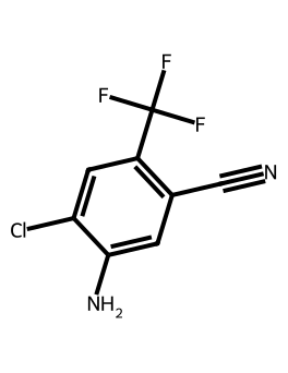 N#Cc1cc(N)c(Cl)cc1C(F)(F)F